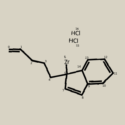 C=CCCC[C]1([Zr])C=Cc2ccccc21.Cl.Cl